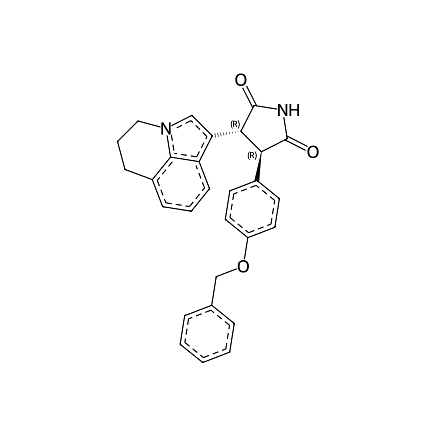 O=C1NC(=O)[C@@H](c2cn3c4c(cccc24)CCC3)[C@@H]1c1ccc(OCc2ccccc2)cc1